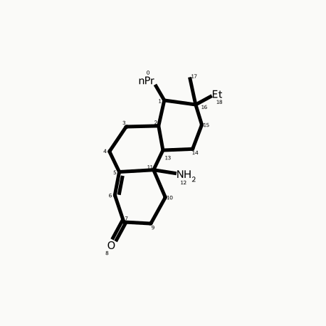 CCCC1C2CCC3=CC(=O)CCC3(N)C2CCC1(C)CC